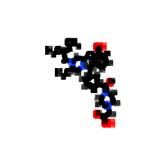 CCC(C)CN1C[C@H](C)N(C(c2cccc(O)c2)c2cccc(C(=O)N3CCN(CC(=O)O)CC3)c2)C[C@H]1C